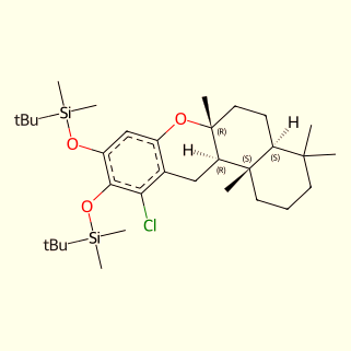 CC1(C)CCC[C@]2(C)[C@H]3Cc4c(cc(O[Si](C)(C)C(C)(C)C)c(O[Si](C)(C)C(C)(C)C)c4Cl)O[C@]3(C)CC[C@@H]12